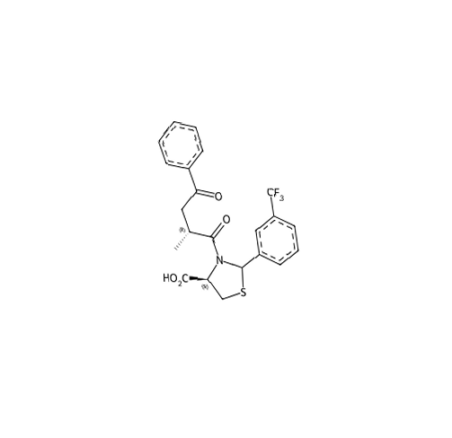 C[C@H](CC(=O)c1ccccc1)C(=O)N1C(c2cccc(C(F)(F)F)c2)SC[C@H]1C(=O)O